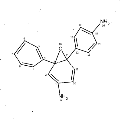 NC1=CC2(c3ccccc3)OC2(c2ccc(N)cc2)C=C1